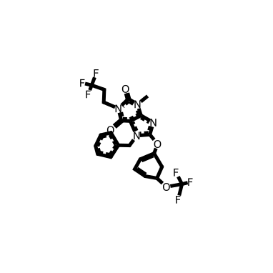 Cn1c(=O)n(CCC(F)(F)F)c(=O)c2c1nc(OC1=CC=CC(OC(F)(F)F)C1)n2Cc1ccccc1